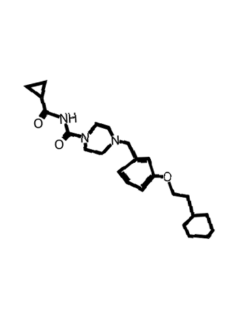 O=C(NC(=O)N1CCN(Cc2cccc(OCCC3CCCCC3)c2)CC1)C1CC1